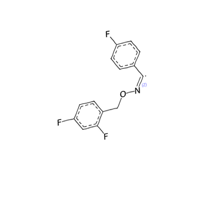 Fc1ccc(/[C]=N\OCc2ccc(F)cc2F)cc1